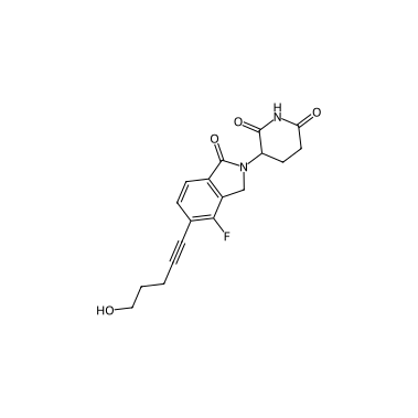 O=C1CCC(N2Cc3c(ccc(C#CCCCO)c3F)C2=O)C(=O)N1